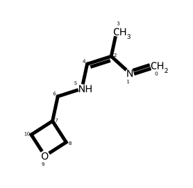 C=N/C(C)=C\NCC1COC1